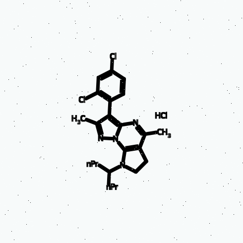 CCCC(CCC)N1CCc2c(C)nc3c(-c4ccc(Cl)cc4Cl)c(C)nn3c21.Cl